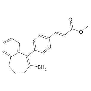 BC1=C(c2ccc(/C=C/C(=O)OC)cc2)c2ccccc2CCC1